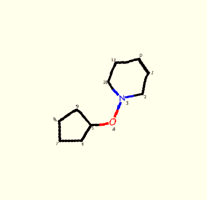 C1CCN(O[C]2CCCC2)CC1